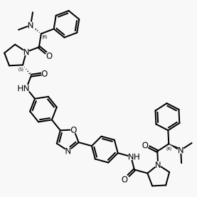 CN(C)[C@@H](C(=O)N1CCCC1C(=O)Nc1ccc(-c2ncc(-c3ccc(NC(=O)[C@@H]4CCCN4C(=O)[C@@H](c4ccccc4)N(C)C)cc3)o2)cc1)c1ccccc1